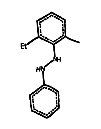 CCc1cccc(C)c1NNc1ccccc1